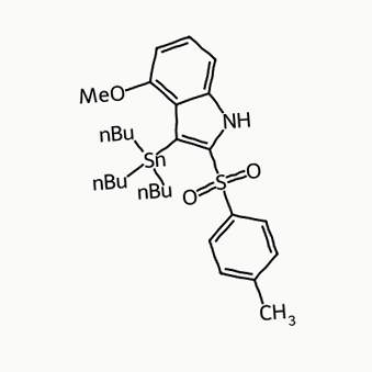 CCC[CH2][Sn]([CH2]CCC)([CH2]CCC)[c]1c(S(=O)(=O)c2ccc(C)cc2)[nH]c2cccc(OC)c12